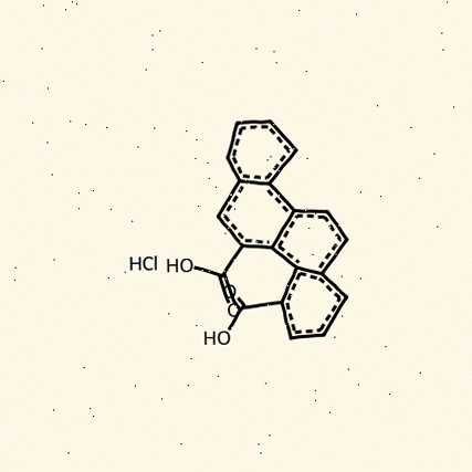 Cl.O=C(O)c1cccc2ccc3c4ccccc4cc(C(=O)O)c3c12